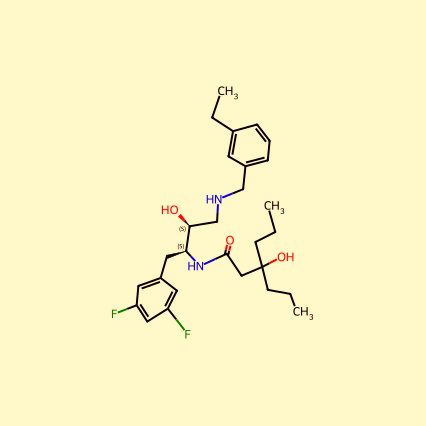 CCCC(O)(CCC)CC(=O)N[C@@H](Cc1cc(F)cc(F)c1)[C@@H](O)CNCc1cccc(CC)c1